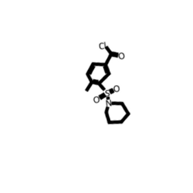 Cc1ccc(C(=O)Cl)cc1S(=O)(=O)N1CCCCC1